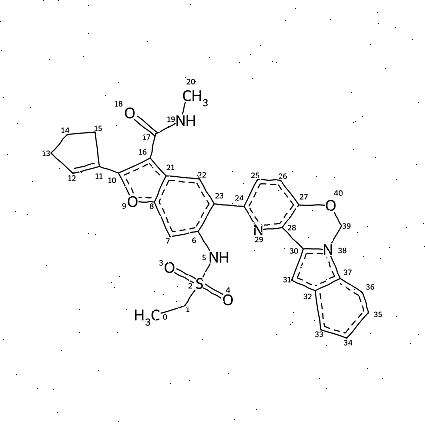 CCS(=O)(=O)Nc1cc2oc(C3=CCCC3)c(C(=O)NC)c2cc1-c1ccc2c(n1)-c1cc3ccccc3n1CO2